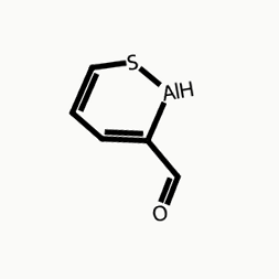 O=C[C]1=CC=C[S][AlH]1